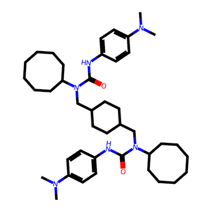 CN(C)c1ccc(NC(=O)N(CC2CCC(CN(C(=O)Nc3ccc(N(C)C)cc3)C3CCCCCCC3)CC2)C2CCCCCCC2)cc1